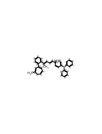 C=C(/C=C\C(=C/C)N(c1ccccc1)c1ccccn1)/C=C/C=C(\C)c1ccccc1C1=CC=CCC(C)=C1